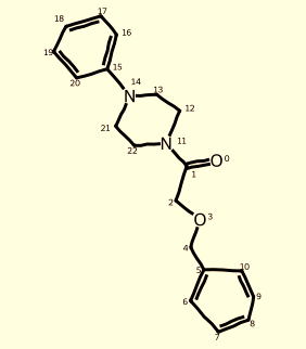 O=C(COCc1ccccc1)N1CCN(c2ccccc2)CC1